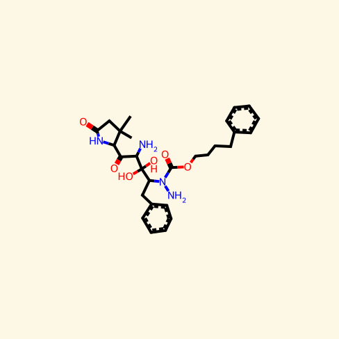 CC1(C)CC(=O)NC1C(=O)C(N)C(O)(O)C(Cc1ccccc1)N(N)C(=O)OCCCCc1ccccc1